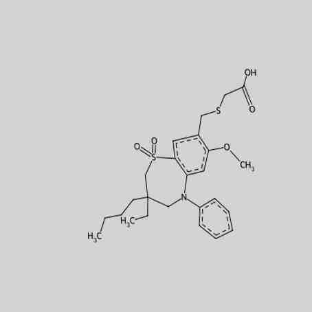 CCCCC1(CC)CN(c2ccccc2)c2cc(OC)c(CSCC(=O)O)cc2S(=O)(=O)C1